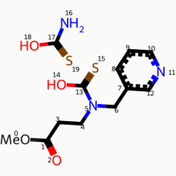 COC(=O)CCN(Cc1cccnc1)C(O)=S.NC(O)=S